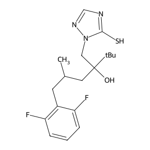 CC(Cc1c(F)cccc1F)CC(O)(Cn1ncnc1S)C(C)(C)C